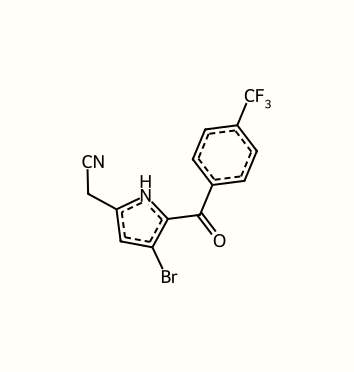 N#CCc1cc(Br)c(C(=O)c2ccc(C(F)(F)F)cc2)[nH]1